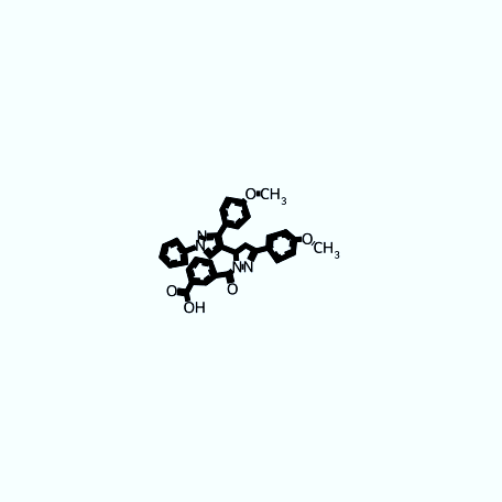 COc1ccc(C2=NN(C(=O)c3cccc(C(=O)O)c3)C(c3cn(-c4ccccc4)nc3-c3ccc(OC)cc3)C2)cc1